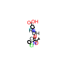 Cc1cccc(Cl)c1-c1noc(C2CC2)c1CO[C@H]1C[C@@H]2C[C@H]1CN2c1ccc(C(=O)O)cc1F